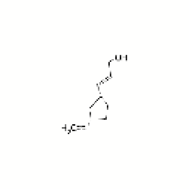 C=C[C@H]1CC[C@@H](C=CCO)C1